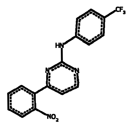 O=[N+]([O-])c1ccccc1-c1ccnc(Nc2ccc(C(F)(F)F)cc2)n1